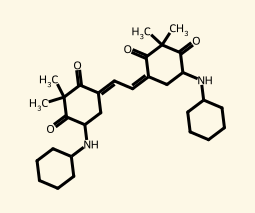 CC1(C)C(=O)C(=CC=C2CC(NC3CCCCC3)C(=O)C(C)(C)C2=O)CC(NC2CCCCC2)C1=O